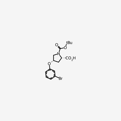 CC(C)(C)OC(=O)N1C[C@@H](Oc2cccc(Br)c2)C[C@H]1C(=O)O